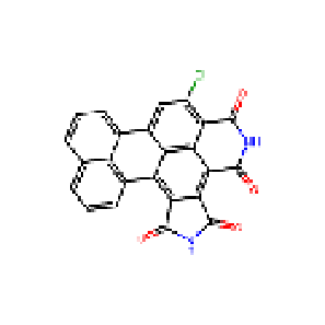 O=C1NC(=O)c2c3c1c(Cl)cc1c4cccc5cccc(c54)c(c4c(=O)[nH]c(=O)c24)c31